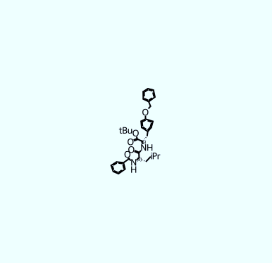 CC(C)C[C@H](NC(=O)c1ccccc1)C(=O)N[C@@H](Cc1ccc(OCc2ccccc2)cc1)C(=O)OC(C)(C)C